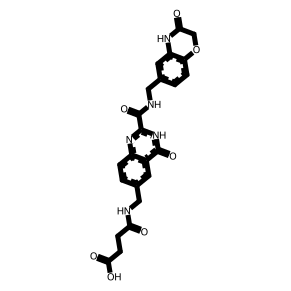 O=C(O)CCC(=O)NCc1ccc2nc(C(=O)NCc3ccc4c(c3)NC(=O)CO4)[nH]c(=O)c2c1